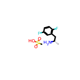 CS(=O)(=O)O.C[C@H](N)Cc1cc(F)ccc1F